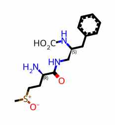 C[S+]([O-])CC[C@@H](N)C(=O)NC[C@H](Cc1ccccc1)NC(=O)O